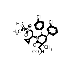 CN(C)S(=O)(=O)C[C@H](C1CC1)N1C(=O)[C@](C)(CC(=O)O)C[C@H](c2cccc(Cl)c2)[C@H]1c1ccc(Cl)cc1